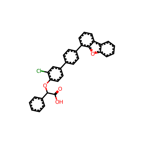 O=C(O)C(Oc1ccc(-c2ccc(-c3cccc4c3oc3ccccc34)cc2)cc1Cl)c1ccccc1